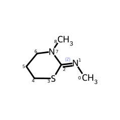 C/N=C1\SCCCN1C